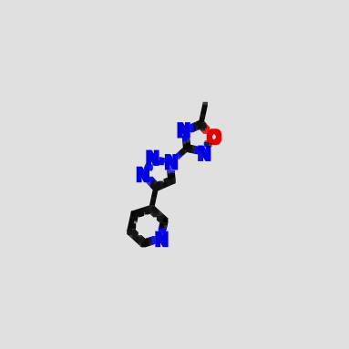 Cc1nc(-n2cc(-c3cccnc3)nn2)no1